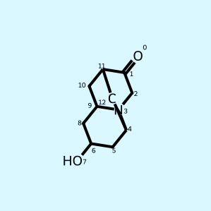 O=C1CN2C3CC(O)CC2CC1C3